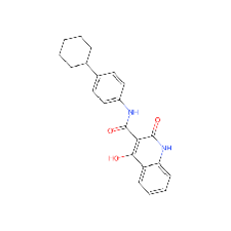 O=C(Nc1ccc(C2CCCCC2)cc1)c1c(O)c2ccccc2[nH]c1=O